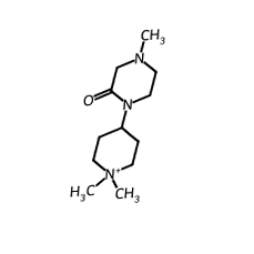 CN1CCN(C2CC[N+](C)(C)CC2)C(=O)C1